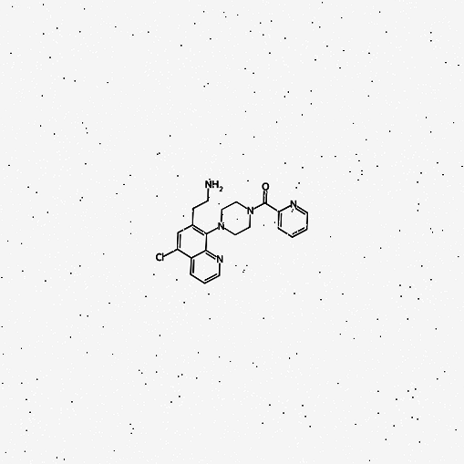 NCCc1cc(Cl)c2cccnc2c1N1CCN(C(=O)c2ccccn2)CC1